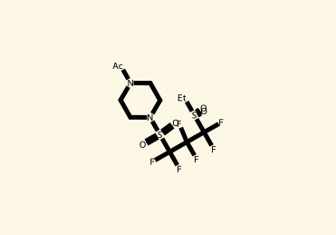 CCS(=O)(=O)C(F)(F)C(F)(F)C(F)(F)S(=O)(=O)N1CCN(C(C)=O)CC1